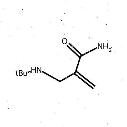 C=C(CNC(C)(C)C)C(N)=O